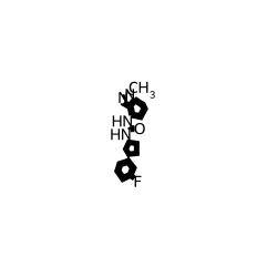 Cn1ncc2c(NC(=O)N[C@@H]3CC[C@@H](c4cccc(F)c4)C3)cccc21